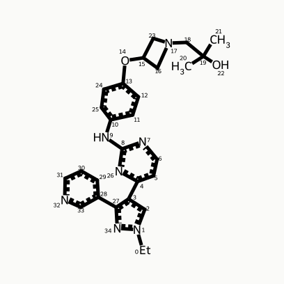 CCn1cc(-c2ccnc(Nc3ccc(OC4CN(CC(C)(C)O)C4)cc3)n2)c(-c2cccnc2)n1